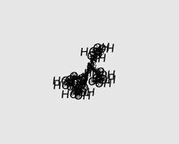 O=C(NCCCN(CCCCN(CCCNC(=O)C1OCC(O)C(O)C1O)CCCNC(=O)C1OC(CO)C(O)C(O)C1O)CCCNC(=O)C1OC(O)C(O)C(O)C1O)C1OCC(O)C(O)C1O